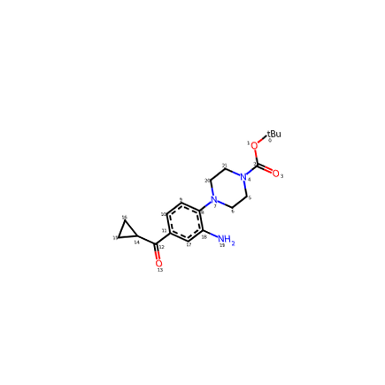 CC(C)(C)OC(=O)N1CCN(c2ccc(C(=O)C3CC3)cc2N)CC1